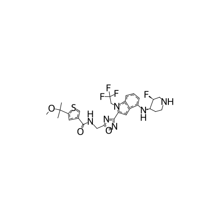 COC(C)(C)c1cc(C(=O)NCc2nc(-c3cc4c(N[C@@H]5CCNC[C@@H]5F)cccc4n3CC(F)(F)F)no2)cs1